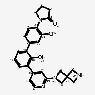 O=C1CCCN1c1ccc(-c2cccc(-c3ccnc(N4CC5(CNC5)C4)c3)c2O)cc1Cl